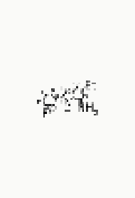 CCc1cc(N)c2[nH]c(-c3cccc(F)c3)cc2c1